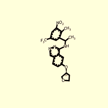 Cc1c(C(C)Nc2nncc3ccc(O[C@H]4CCOC4)cc23)cc(C(F)(F)F)cc1[N+](=O)[O-]